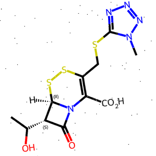 CC(O)[C@H]1C(=O)N2C(C(=O)O)=C(CSc3nnnn3C)SS[C@H]12